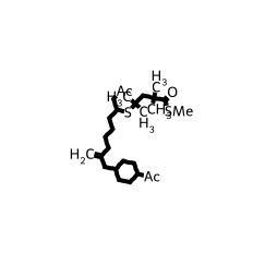 C=C(CCCCC(CC(C)=O)SC(C)(C)CC(C)(C)C(=O)SC)CC1CCC(C(C)=O)CC1